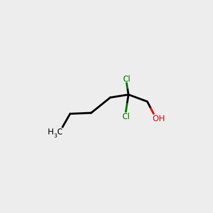 CCCCC(Cl)(Cl)CO